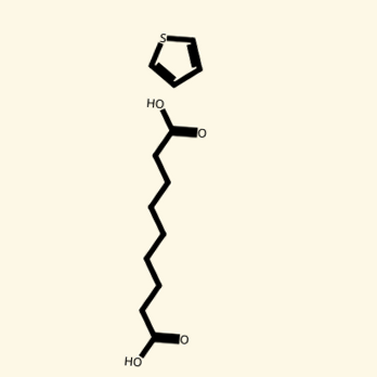 O=C(O)CCCCCCCC(=O)O.c1ccsc1